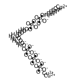 O.O.O.O.O=P([O-])([O-])[O-].O=P([O-])([O-])[O-].O=P([O-])([O-])[O-].O=P([O-])([O-])[O-].O=P([O-])([O-])[O-].[Cu+2].[Cu+2].[Cu+2].[Cu+2].[Fe+3].[Fe+3].[Fe+3].[Fe+3].[OH-].[OH-].[OH-].[OH-].[OH-]